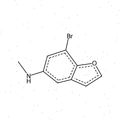 CNc1cc(Br)c2occc2c1